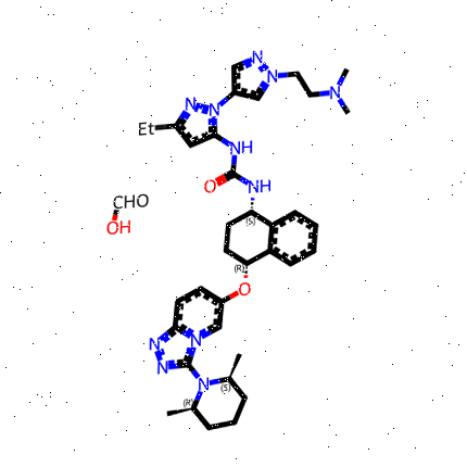 CCc1cc(NC(=O)N[C@H]2CC[C@@H](Oc3ccc4nnc(N5[C@H](C)CCC[C@@H]5C)n4c3)c3ccccc32)n(-c2cnn(CCN(C)C)c2)n1.O=CO